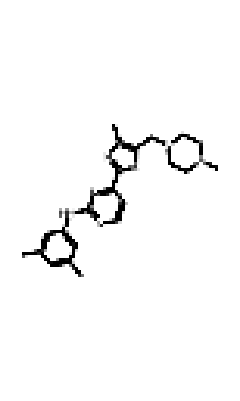 Cc1cc(C)cc(Nc2nccc(-c3nc(C)c(CN4CCN(C)CC4)s3)n2)c1